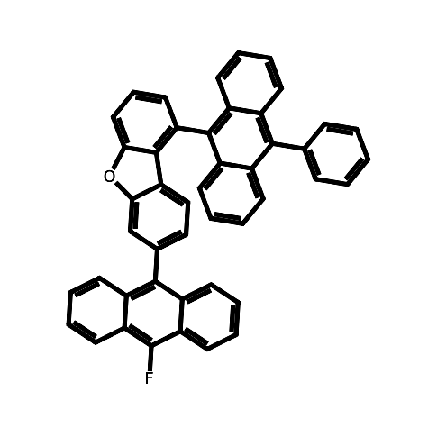 Fc1c2ccccc2c(-c2ccc3c(c2)oc2cccc(-c4c5ccccc5c(-c5ccccc5)c5ccccc45)c23)c2ccccc12